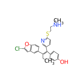 CCC(=C(c1ccc(O)cc1)c1ccc(SCCNC)nc1)c1ccc2oc(Cl)cc2c1